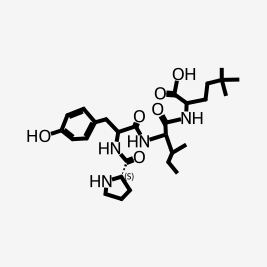 CCC(C)C(NC(=O)C(Cc1ccc(O)cc1)NC(=O)[C@@H]1CCCN1)C(=O)NC(CCC(C)(C)C)C(=O)O